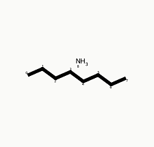 C[CH]CCCCCC.N